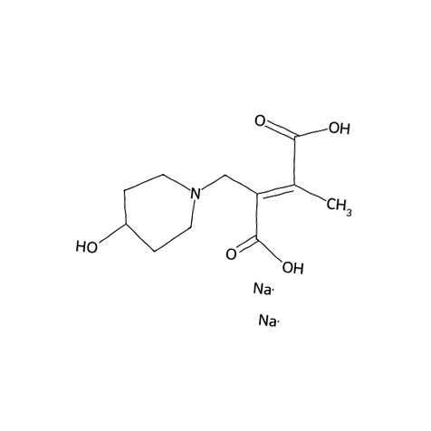 CC(C(=O)O)=C(CN1CCC(O)CC1)C(=O)O.[Na].[Na]